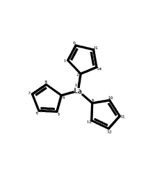 C1=C[CH]([La]([CH]2C=CC=C2)[CH]2C=CC=C2)C=C1